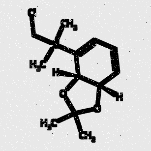 CC1(C)O[C@H]2C=CC=C([Si](C)(C)CCl)[C@H]2O1